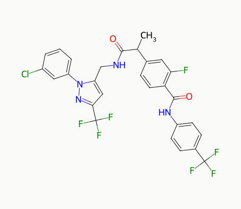 CC(C(=O)NCc1cc(C(F)(F)F)nn1-c1cccc(Cl)c1)c1ccc(C(=O)Nc2ccc(C(F)(F)F)cc2)c(F)c1